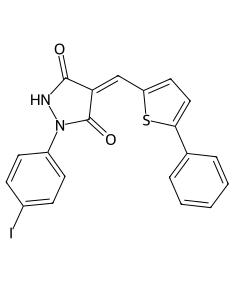 O=C1NN(c2ccc(I)cc2)C(=O)C1=Cc1ccc(-c2ccccc2)s1